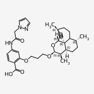 C[C@H]1[C@@H](OCCCOc2cc(NC(=O)Cn3cccn3)ccc2C(=O)O)O[C@@H]2O[C@@]3(C)CCC4[C@H](C)CC[C@@H]1[C@]42OO3